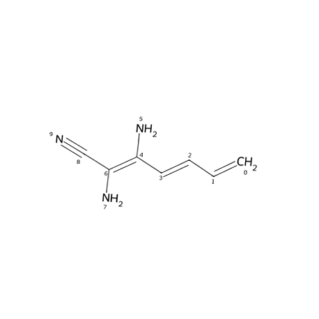 C=CC=CC(N)=C(N)C#N